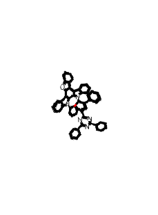 c1ccc(-c2nc(-c3ccccc3)nc(-c3ccc(-n4c5ccccc5c5c6c7ccccc7oc6c6c7ccccc7n(-c7ccccc7)c6c54)c(-c4ccccc4)c3)n2)cc1